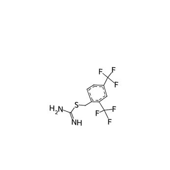 N=C(N)SCc1ccc(C(F)(F)F)cc1C(F)(F)F